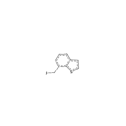 ICc1cccc2ccsc12